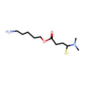 CN(C)C(S)CCC(=O)OCCCCCN